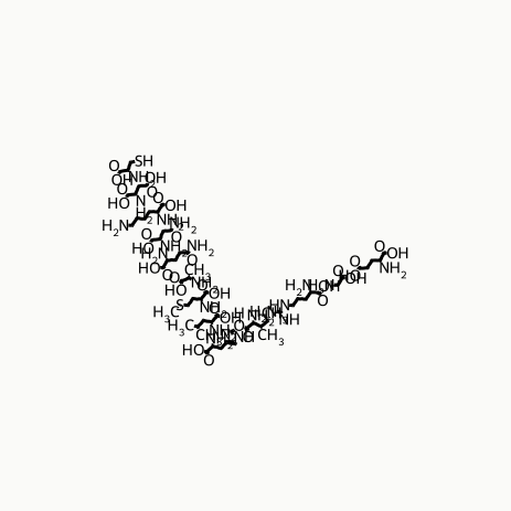 CC(C)C[C@H](N)C(=O)O.CC[C@H](C)[C@H](N)C(=O)O.CSCC[C@H](N)C(=O)O.C[C@H](N)C(=O)O.N=C(N)NCCC[C@H](N)C(=O)O.NC(=O)CC[C@H](N)C(=O)O.NC(=O)C[C@H](N)C(=O)O.NCC(=O)O.NCCCC[C@H](N)C(=O)O.N[C@@H](CC(=O)O)C(=O)O.N[C@@H](CCC(=O)O)C(=O)O.N[C@@H](CS)C(=O)O.N[C@@H](Cc1c[nH]cn1)C(=O)O